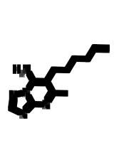 C=CCCCCc1c(C)nc2ncnn2c1N